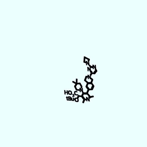 Cc1nc(C)c([C@H](OC(C)(C)C)C(=O)O)c(N2CCC(C)(C)CC2)c1-c1ccc2c(c1)CCN(c1ccnc(N3CCC3)n1)C2